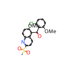 COc1cccc(Cl)c1C(=O)c1c(OC)ccc2nc(S(C)(=O)=O)ccc12